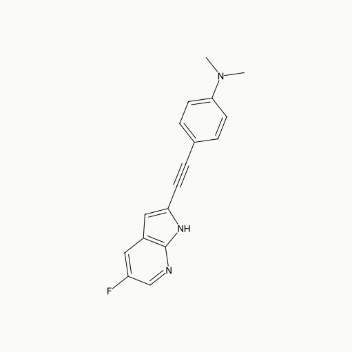 CN(C)c1ccc(C#Cc2cc3cc(F)cnc3[nH]2)cc1